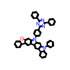 c1ccc(-c2nc(-c3ccccc3)nc(-c3ccc(-n4c5cc6oc7ccccc7c6cc5c5cc6c7ccccc7n(-c7ccccc7)c6cc54)cc3)n2)cc1